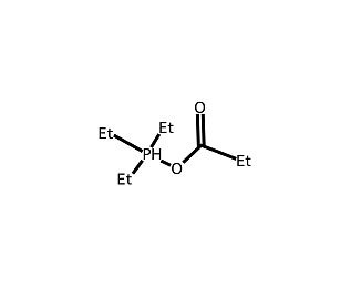 CCC(=O)O[PH](CC)(CC)CC